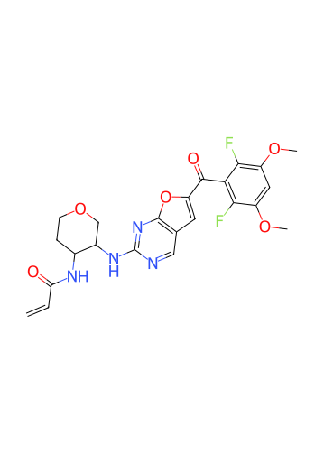 C=CC(=O)NC1CCOCC1Nc1ncc2cc(C(=O)c3c(F)c(OC)cc(OC)c3F)oc2n1